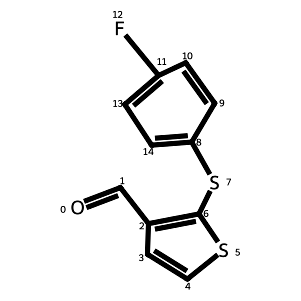 O=Cc1ccsc1Sc1ccc(F)cc1